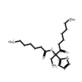 CCCCCCCCCCCCCCCC(=O)OC(CN)(C(=O)CCCCCCCCCCCCCCC)c1ccc[pH]1